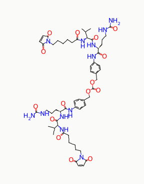 CC(C)[C@H](NC(=O)CCCCCN1C(=O)C=CC1=O)C(=O)N[C@@H](CCCNC(N)=O)C(=O)Nc1ccc(COC(=O)OCc2ccc(NC(=O)[C@H](CCCNC(N)=O)NC(=O)[C@@H](NC(=O)CCCCCN3C(=O)C=CC3=O)C(C)C)cc2)cc1